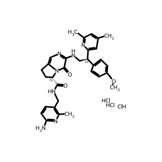 COc1ccc([C@@H](CNc2ncc3n(c2=O)[C@H](C(=O)NCc2ccc(N)nc2C)CC3)c2cc(C)cc(C)n2)cc1.Cl.Cl.Cl